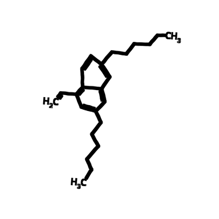 C=Cc1cc(CCCCCC)cc2cc(CCCCCC)ccc12